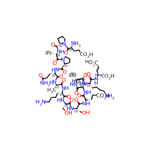 CC[C@H](C)[C@H](NC(=O)[C@H](CC(=O)O)NC(=O)[C@H](CCC(=O)O)NC(=O)[C@H](CO)NC(=O)[C@H](CO)NC(=O)[C@H](CCCCN)NC(=O)[C@H](C)NC(=O)[C@H](CCC(N)=O)NC(=O)[C@@H]1CCCN1C(=O)[C@@H](NC(=O)[C@@H]1CCCN1C(=O)[C@@H](N)CCC(=O)O)C(C)C)C(=O)N[C@@H](CCCCN)C(=O)N[C@@H](CCC(=O)O)C(=O)O